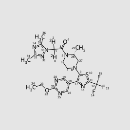 [2H]C([2H])(C(=O)N1CCN(c2sc(C(F)(F)F)nc2-c2cnc(OCC)nc2)C[C@H]1C)n1nc(C)nc1C